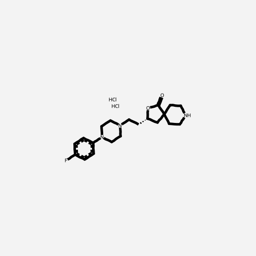 Cl.Cl.O=C1O[C@@H](CCN2CCN(c3ccc(F)cc3)CC2)CC12CCNCC2